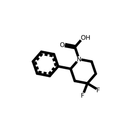 O=C(O)N1CCC(F)(F)CC1c1ccccc1